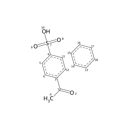 CC(=O)c1ccc(S(=O)(=O)O)cc1.c1ccccc1